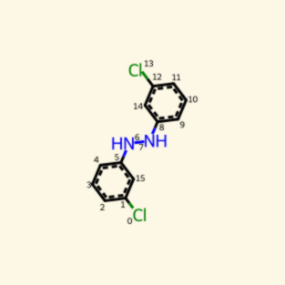 Clc1cccc(NNc2cccc(Cl)c2)c1